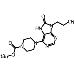 CC(C)(C)OC(=O)N1CCN(c2ncnc3c2[nH]c(=O)n3CCC#N)CC1